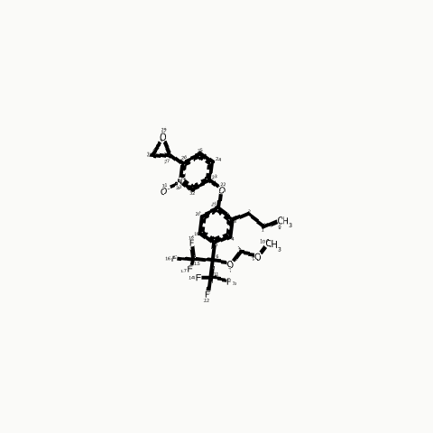 CCCc1cc(C(OCOC)(C(F)(F)F)C(F)(F)F)ccc1Oc1ccc(C2CO2)[n+]([O-])c1